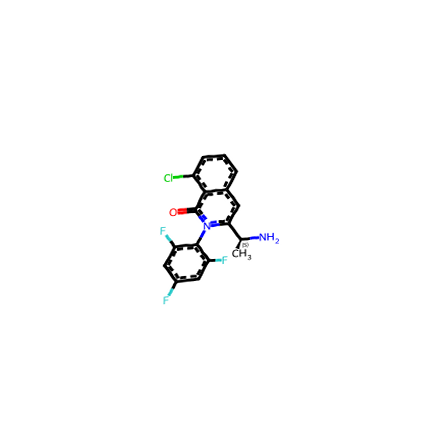 C[C@H](N)c1cc2cccc(Cl)c2c(=O)n1-c1c(F)cc(F)cc1F